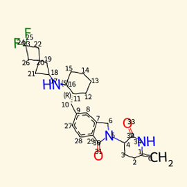 C=C1CCC(N2Cc3cc(C[C@H]4CCCC[C@@H]4NC4CC5(C4)CC(F)(F)C5)ccc3C2=O)C(=O)N1